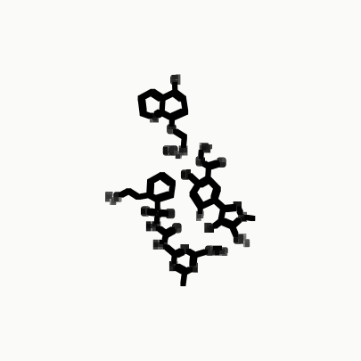 CC(C)OC(=O)c1cc(-c2nn(C)c(C(F)(F)F)c2Br)c(F)cc1Cl.COc1nc(C)nc(NC(=O)NS(=O)(=O)c2ccccc2CCC(F)(F)F)n1.O=C(O)COc1ccc(Cl)c2cccnc12